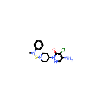 CN(SN1CCC(n2ncc(N)c(Cl)c2=O)CC1)c1ccccc1